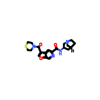 O=C(N[C@@H]1C[C@H]2CCN(C2)C1)c1cc2c(C(=O)N3CCSCC3)coc2cn1